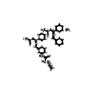 CC(C)=O.C[S+]([O-])C[N+](=C=NC1CCCCC1)C1CCCCC1.C[S+]([O-])C[N+](=C=NC1CCCCC1)C1CCCCC1.[Al+3].[AlH3].[O-2].[O-2].[O-2]